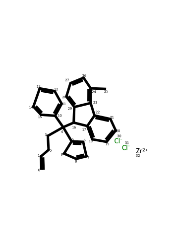 C=CCCC(C1=CC=CC1)(c1ccccc1)C1c2ccccc2-c2c(C)cccc21.[Cl-].[Cl-].[Zr+2]